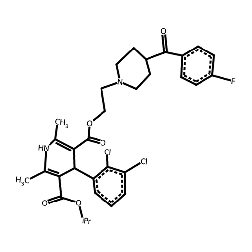 CC1=C(C(=O)OCCN2CCC(C(=O)c3ccc(F)cc3)CC2)C(c2cccc(Cl)c2Cl)C(C(=O)OC(C)C)=C(C)N1